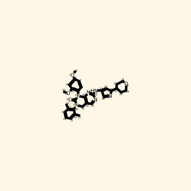 COc1ccc(N2C(=O)N(c3c(C)cccc3C)Cc3cnc(NC4=CC(C5CCOCC5)N=C4)nc32)c(OC)c1